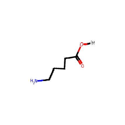 [2H]OC(=O)CCCCN